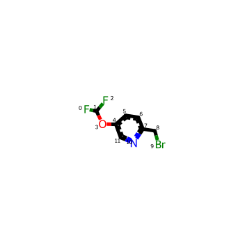 FC(F)Oc1ccc(CBr)nc1